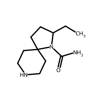 CCC1CCC2(CCNCC2)N1C(N)=O